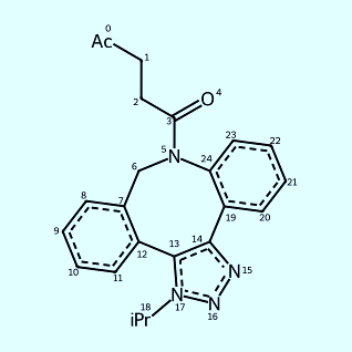 CC(=O)CCC(=O)N1Cc2ccccc2-c2c(nnn2C(C)C)-c2ccccc21